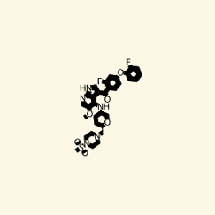 COc1cnc2[nH]cc(C(=O)c3ccc(Oc4ccccc4F)cc3F)c2c1N[C@@H]1CC[C@@H](CN2CCN(S(C)(=O)=O)CC2)OC1